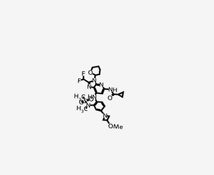 COC1CN(c2ccc(Nc3cc(NC(=O)C4CC4)nc4c3nc(C(F)F)n4C3CCCCO3)c(N(C)S(C)(=O)=O)c2)C1